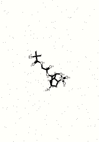 CCC(C)(C)C(=O)OCC(=O)OC1C2OS(=O)(=O)C3C[C@@H]1CC23